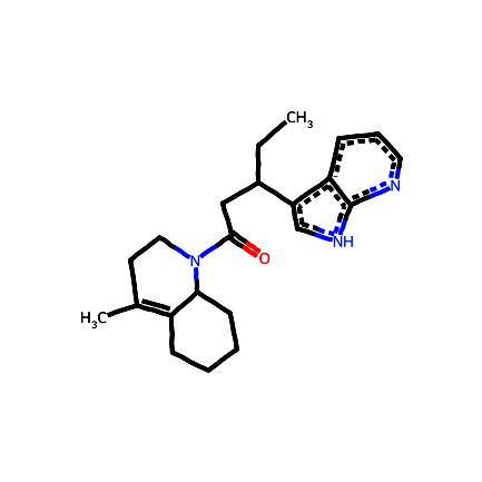 CCC(CC(=O)N1CCC(C)=C2CCCCC21)c1c[nH]c2ncccc12